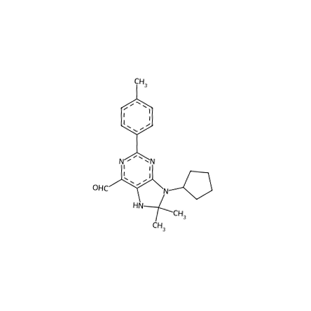 Cc1ccc(-c2nc(C=O)c3c(n2)N(C2CCCC2)C(C)(C)N3)cc1